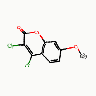 CCCCOc1ccc2c(Cl)c(Cl)c(=O)oc2c1